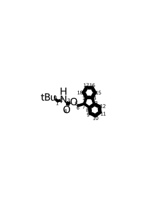 CC(C)(C)CNC(=O)OCC1c2ccccc2-c2ccccc21